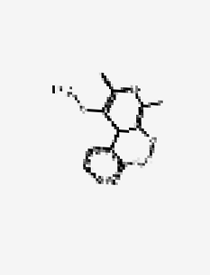 CCOC(=O)OC1=C(C)NC(C)=C(OC(=O)O)C1c1cccnc1